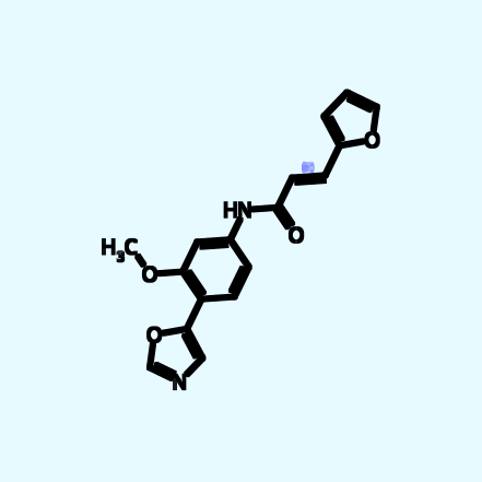 COc1cc(NC(=O)/C=C/c2ccco2)ccc1-c1cnco1